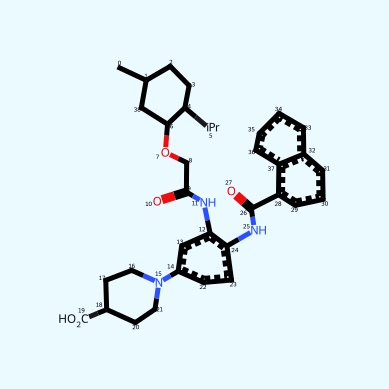 CC1CCC(C(C)C)C(OCC(=O)Nc2cc(N3CCC(C(=O)O)CC3)ccc2NC(=O)c2cccc3ccccc23)C1